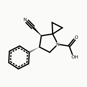 N#C[C@@H]1[C@@H](c2ccccc2)CN(C(=O)O)C12CC2